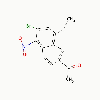 C[CH]c1cc(Br)c([N+](=O)[O-])c2ccc(C(C)=O)cc12